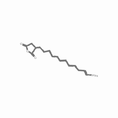 CCCCCCC=CCCCCCCCCCCC1CC(=O)OC1=O